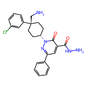 NC[C@]1(c2cccc(Cl)c2)CC[C@@H](n2nc(-c3ccccc3)cc(C(=O)NN)c2=O)CC1